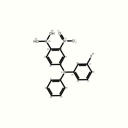 O=[N+]([O-])c1cc(N(c2ccccc2)c2cccc(F)c2)ccc1B(O)O